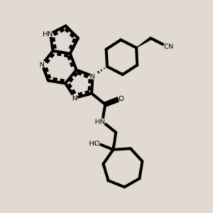 N#CC[C@H]1CC[C@H](n2c(C(=O)NCC3(O)CCCCCC3)nc3cnc4[nH]ccc4c32)CC1